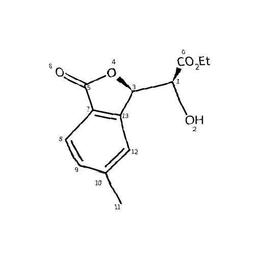 CCOC(=O)[C@@H](O)[C@@H]1OC(=O)c2ccc(C)cc21